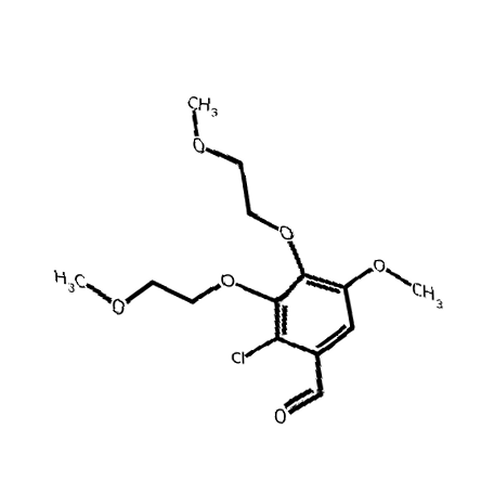 COCCOc1c(OC)cc(C=O)c(Cl)c1OCCOC